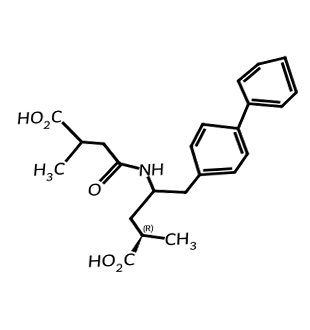 CC(CC(=O)NC(Cc1ccc(-c2ccccc2)cc1)C[C@@H](C)C(=O)O)C(=O)O